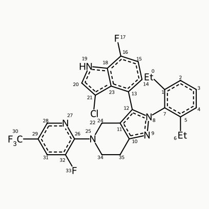 CCc1cccc(CC)c1-n1nc2c(c1-c1ccc(F)c3[nH]cc(Cl)c13)CN(c1ncc(C(F)(F)F)cc1F)CC2